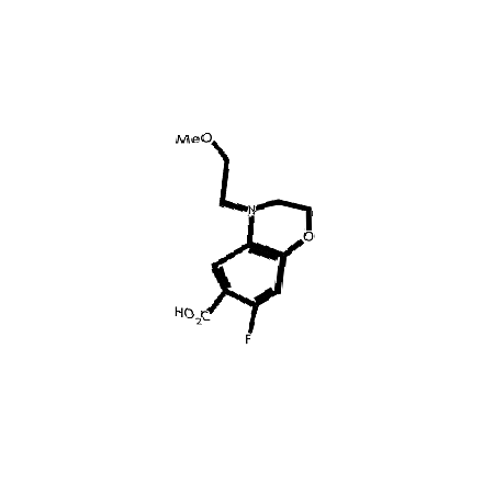 COCCN1CCOc2cc(F)c(C(=O)O)cc21